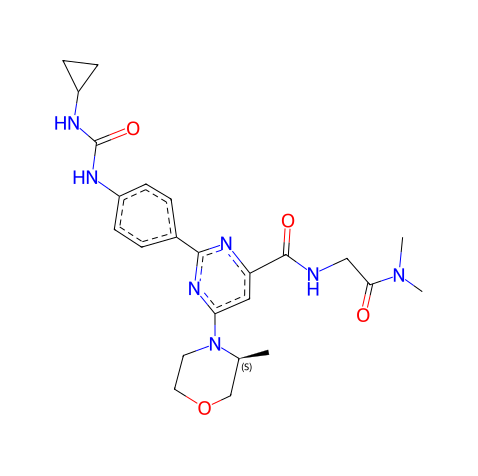 C[C@H]1COCCN1c1cc(C(=O)NCC(=O)N(C)C)nc(-c2ccc(NC(=O)NC3CC3)cc2)n1